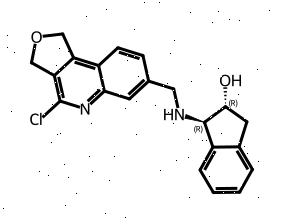 O[C@@H]1Cc2ccccc2[C@H]1NCc1ccc2c3c(c(Cl)nc2c1)COC3